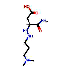 CN(C)CCCNN[C@@H](CC(=O)O)C(N)=O